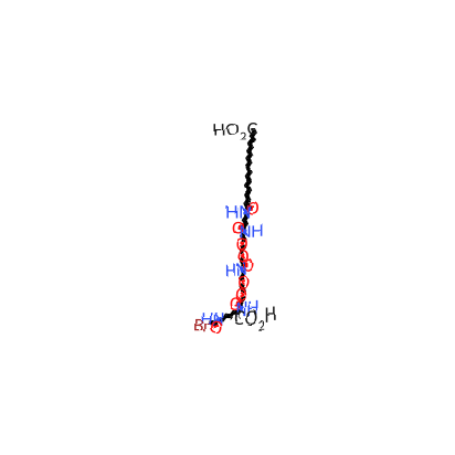 O=C(O)CCCCCCCCCCCCCCCCCCC(=O)NCCCC(=O)NCCOCCOCC(=O)NCCOCCOCC(=O)N[C@@H](CCCCNC(=O)CBr)C(=O)O